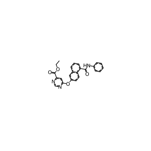 CCOC(=O)c1cc(Oc2ccc3c(C(=O)Nc4ccccc4)cccc3c2)ncn1